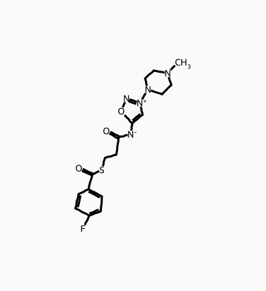 CN1CCN([n+]2cc([N-]C(=O)CCSC(=O)c3ccc(F)cc3)on2)CC1